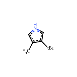 CC(C)(C)c1c[nH]cc1C(F)(F)F